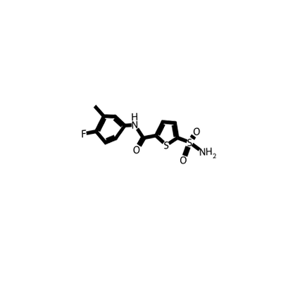 Cc1cc(NC(=O)c2ccc(S(N)(=O)=O)s2)ccc1F